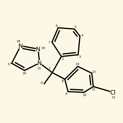 CC(c1ccccc1)(c1ccc(Cl)cc1)n1ccnn1